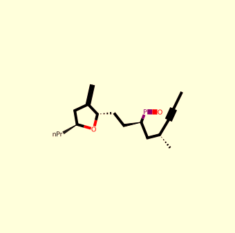 C=C1C[C@H](CCC)O[C@H]1CC[C@H](C[C@@H](C)C#CC)P=O